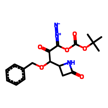 CC(C)(C)OC(=O)OC(=[N+]=[N-])C(=O)C(OCc1ccccc1)C1CC(=O)N1